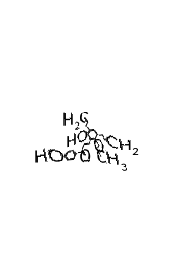 C=CCc1cc(CC=C)c(OCC)c(C=CC(=O)c2ccc(O)cc2)c1O